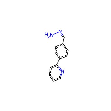 N/N=C\c1ccc(-c2ccccn2)cc1